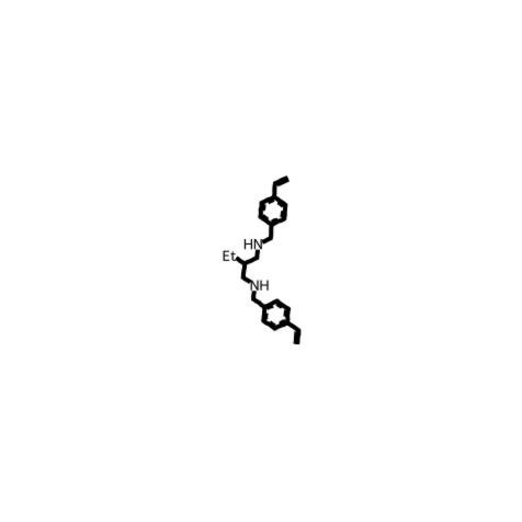 C=Cc1ccc(CNCC(CC)CNCc2ccc(C=C)cc2)cc1